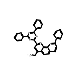 CCc1cc(-c2nc(-c3ccccc3)nc(-c3ccccc3)n2)nc2c1ccc1ccc(-c3ccccc3)nc12